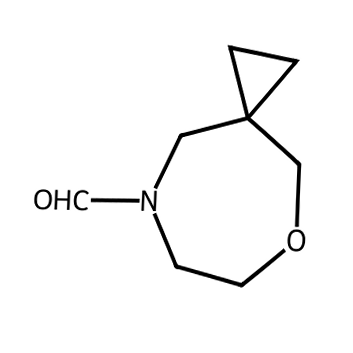 O=CN1CCOCC2(CC2)C1